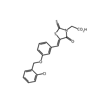 O=C(O)CN1C(=O)/C(=C/c2cccc(OCc3ccccc3Cl)c2)SC1=S